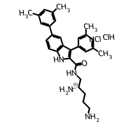 Cc1cc(C)cc(-c2ccc3[nH]c(C(=O)NC[C@@H](N)CCCN)c(-c4cc(C)cc(C)c4)c3c2)c1.Cl.Cl